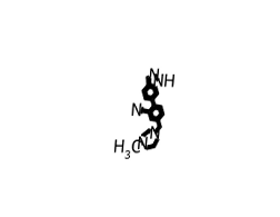 CN1CCCN(Cc2ccc(-c3ccc4cn[nH]c4c3)c(C#N)c2)CC1